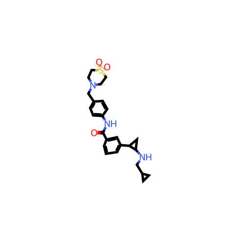 O=C(Nc1ccc(CN2CCS(=O)(=O)CC2)cc1)c1cccc(C2CC2NCC2CC2)c1